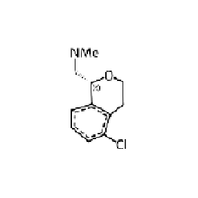 CNC[C@@H]1OCCc2c(Cl)cccc21